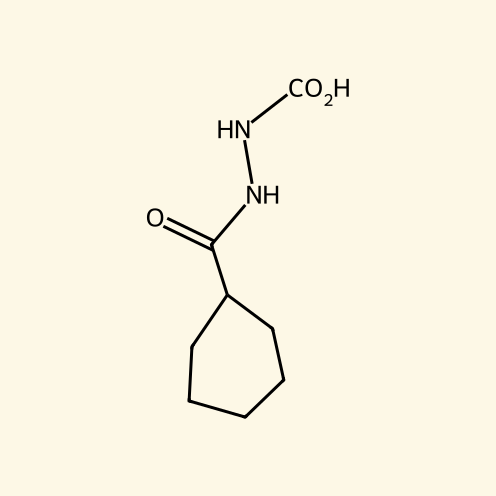 O=C(O)NNC(=O)C1CCCCC1